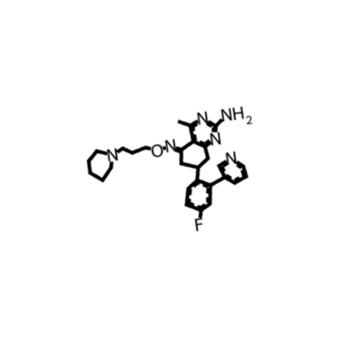 Cc1nc(N)nc2c1/C(=N/OCCCN1CCCCC1)CC(c1ccc(F)cc1-c1cccnc1)C2